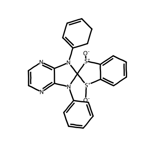 [O-][S+]1c2ccccc2[S+]([O-])C12N(C1=CC=CCC1)c1nccnc1N2c1ccccc1